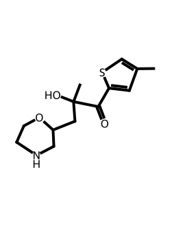 Cc1csc(C(=O)C(C)(O)CC2CNCCO2)c1